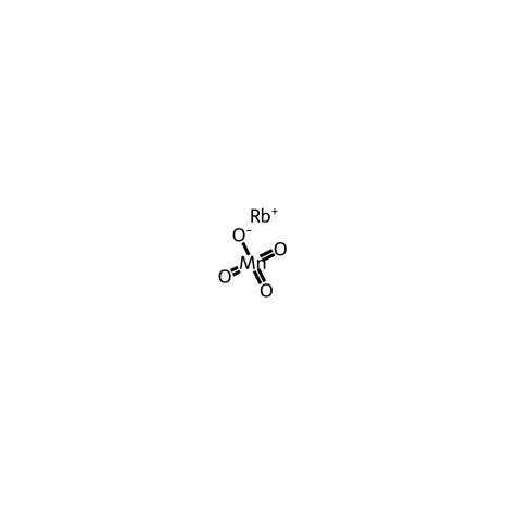 [O]=[Mn](=[O])(=[O])[O-].[Rb+]